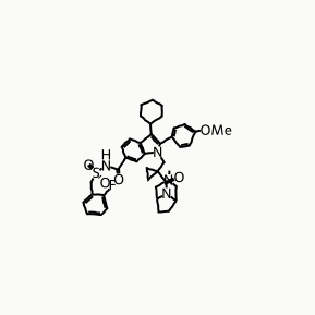 COc1ccc(-c2c(C3CCCCC3)c3ccc(C(=O)NS(=O)(=O)Cc4ccccc4F)cc3n2CC2(C(=O)N3C4CCC3CN(C)C4)CC2)cc1